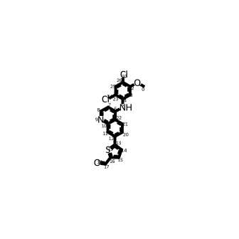 COc1cc(Nc2ccnc3cc(-c4ccc(C=O)s4)ccc23)c(Cl)cc1Cl